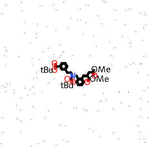 COC(=O)CC(=Cc1ccccc1CN(CCc1cccc(C(=O)OC(C)(C)C)c1)C(=O)OC(C)(C)C)C(=O)OC